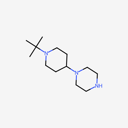 CC(C)(C)N1CCC(N2CCNCC2)CC1